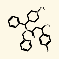 CC(CC(=O)N(Cc1ccccn1)C(c1ccccc1)C1CCN(C)CC1)c1ccc(F)cc1